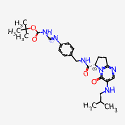 CC(C)CNc1cnc2n(c1=O)[C@H](C(=O)NCc1ccc(/N=C/NC(=O)OC(C)(C)C)cc1)CC2